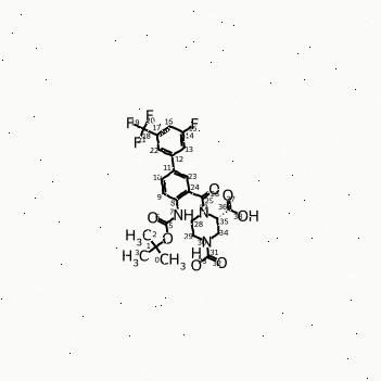 CC(C)(C)OC(=O)Nc1ccc(-c2cc(F)cc(C(F)(F)F)c2)cc1C(=O)N1CCN(C(=O)O)C[C@H]1C(=O)O